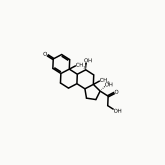 CC12C=CC(=O)C=C1CCC1C2[C@@H](O)CC2(C)C1CC[C@]2(O)C(=O)CO